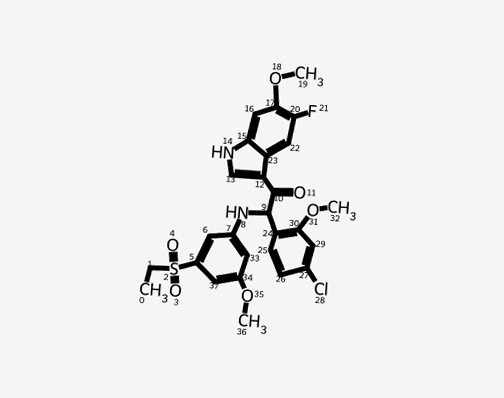 CCS(=O)(=O)c1cc(NC(C(=O)c2c[nH]c3cc(OC)c(F)cc23)c2ccc(Cl)cc2OC)cc(OC)c1